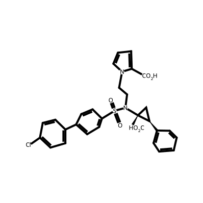 O=C(O)c1cccn1CCN([C@]1(C(=O)O)C[C@H]1c1ccccc1)S(=O)(=O)c1ccc(-c2ccc(Cl)cc2)cc1